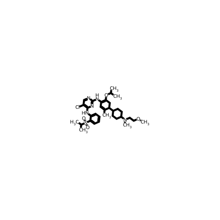 COCCN(C)C1CCC(C2CC(OC(C)C)=C(Nc3ncc(Cl)c(Nc4ccccc4S(=O)(=O)C(C)C)n3)C=C2C)CC1